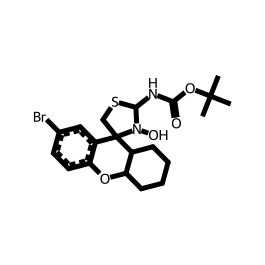 CC(C)(C)OC(=O)NC1SCC2(c3cc(Br)ccc3OC3CCCCC32)N1O